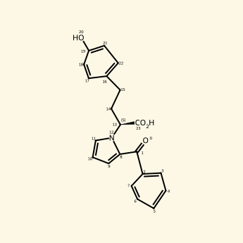 O=C(c1ccccc1)c1cccn1[C@@H](CCc1ccc(O)cc1)C(=O)O